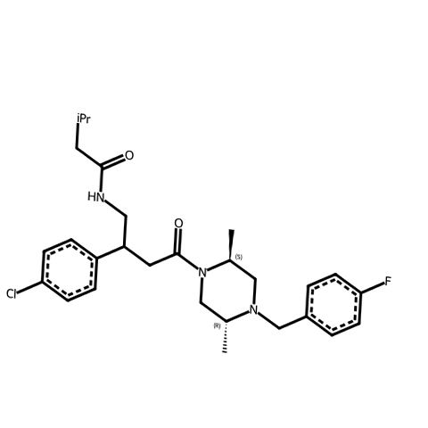 CC(C)CC(=O)NCC(CC(=O)N1C[C@@H](C)N(Cc2ccc(F)cc2)C[C@@H]1C)c1ccc(Cl)cc1